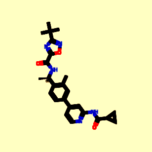 Cc1cc(-c2ccnc(NC(=O)C3CC3)c2)ccc1[C@H](C)NC(=O)c1nc(C(C)(C)C)no1